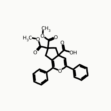 COC(=O)C1(C(=O)OC)CC2=C(c3ccccc3)OC(c3ccccc3)=CC2(C(=O)O)C1